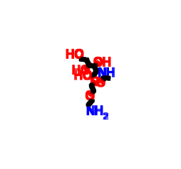 CC(=O)NC(C(O)OCCOCCN)C(O)C(O)CCO